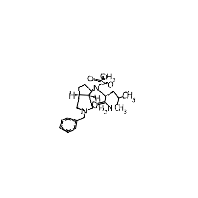 CC(C)C[C@@H](C(N)=O)N([C@@H]1CC[C@H]2CN(Cc3ccccc3)C[C@H]21)S(C)(=O)=O